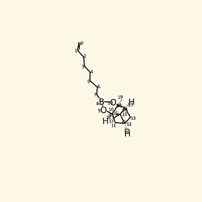 C=CCCCCCCB1O[C@@H]2C[C@@H]3C[C@@H](C3(C)C)[C@]2(C)O1